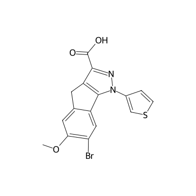 COc1cc2c(cc1Br)-c1c(c(C(=O)O)nn1-c1ccsc1)C2